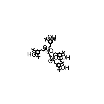 CC(C)(C)c1cc(CCC(=O)N(CCCN(C(=O)CCc2cc(C(C)(C)C)c(O)c(C(C)(C)C)c2)C(=O)CCc2cc(C(C)(C)C)c(O)c(C(C)(C)C)c2)C(=O)CCc2cc(C(C)(C)C)c(O)c(C(C)(C)C)c2)cc(C(C)(C)C)c1O